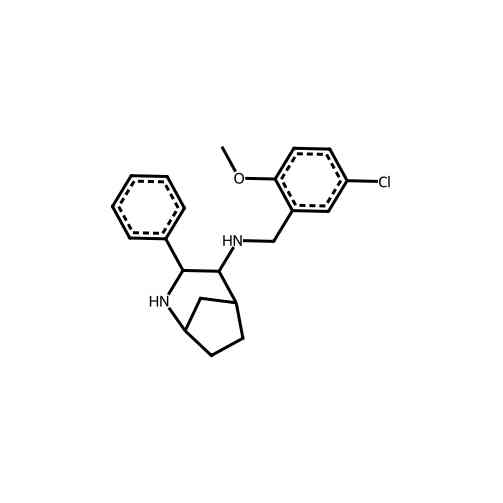 COc1ccc(Cl)cc1CNC1C2CCC(C2)NC1c1ccccc1